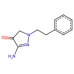 NC1=NN(CCc2ccccc2)CC1=O